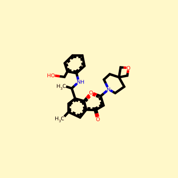 Cc1cc(C(C)Nc2ccccc2CO)c2oc(N3CCC4(CC3)COC4)cc(=O)c2c1